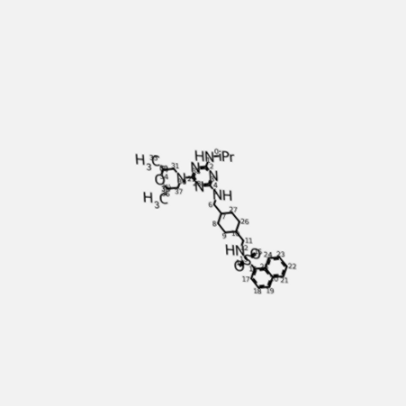 CC(C)Nc1nc(NCC2CCC(CNS(=O)(=O)c3cccc4ccccc34)CC2)nc(N2C[C@@H](C)O[C@@H](C)C2)n1